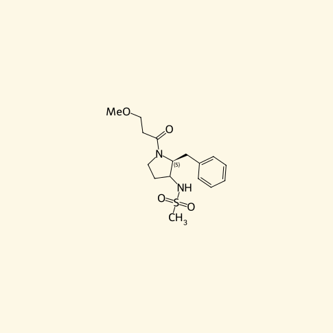 COCCC(=O)N1CCC(NS(C)(=O)=O)[C@@H]1Cc1ccccc1